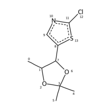 CC1OC(C)(C)OC1c1cnc(Cl)s1